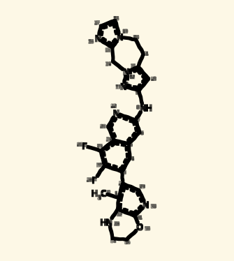 Cc1c(-c2cc3cc(Nc4cc5n(n4)Cc4nccn4CC5)ncc3c(F)c2F)cnc2c1NCCO2